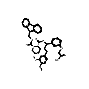 COc1ccc(CCC(OC(=O)[C@@H]2CCCCN2C(=O)OCC2c3ccccc3-c3ccccc32)c2cccc(OCC(=O)O)c2)cc1OC